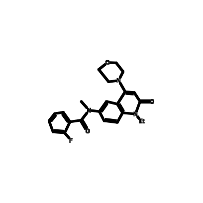 CCn1c(=O)cc(N2CCOCC2)c2cc(N(C)C(=O)c3ccccc3F)ccc21